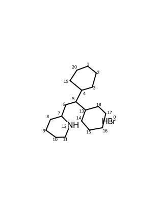 Br.C1CCC(C(CC2CCCCN2)C2CCCCC2)CC1